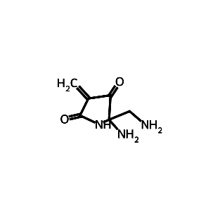 C=C1C(=O)NC(N)(CN)C1=O